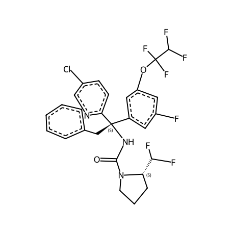 O=C(N[C@@](Cc1ccccc1)(c1cc(F)cc(OC(F)(F)C(F)F)c1)c1ccc(Cl)cn1)N1CCC[C@H]1C(F)F